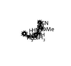 COc1nc(Nc2n[nH]c3c2CN(C(=O)N[C@H]2C[C@@H]2c2ccccc2)C3(C)C)nc(N2CCC[C@H]2C#N)n1